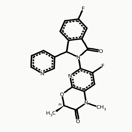 C[C@H]1Oc2nc(N3C(=O)c4cc(F)ccc4C3c3cccnc3)c(F)cc2N(C)C1=O